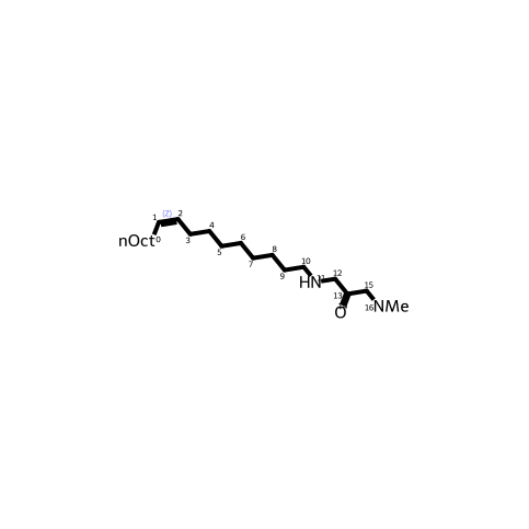 CCCCCCCC/C=C\CCCCCCCCNCC(=O)CNC